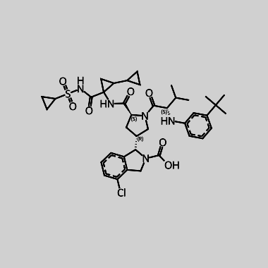 CC(C)[C@H](Nc1cccc(C(C)(C)C)c1)C(=O)N1C[C@H](C2c3cccc(Cl)c3CN2C(=O)O)C[C@H]1C(=O)NC1(C(=O)NS(=O)(=O)C2CC2)CC1C1CC1